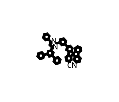 N#Cc1ccc2c(c1)C1(c3ccccc3-c3ccccc31)c1ccc(-c3cccc(-c4nc(-c5ccccc5)cc(-c5cc(-c6ccccc6)cc(-c6ccccc6)c5)n4)c3)cc1-2